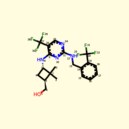 CC1(C)[C@@H](CO)C[C@@H]1Nc1nc(NCc2ccccc2C(F)(F)F)ncc1C(F)(F)F